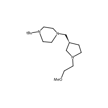 COCCN1CC[C@H](CN2CCN(C(C)(C)C)CC2)C1